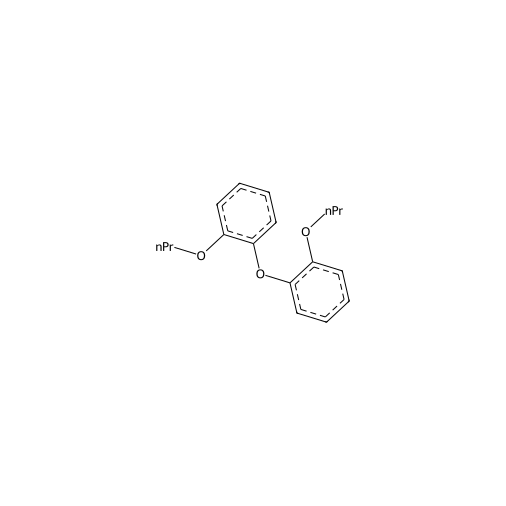 CCCOc1ccccc1Oc1ccccc1OCCC